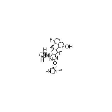 C#Cc1c(F)ccc2cc(O)cc(-c3c(F)cc4c(N5C[C@H]6CC[C@@H](C5)N6)nc(OC[C@]5(C)CN(C)CC[C@H]5C#C)nc4c3F)c12